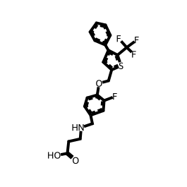 O=C(O)CCNCc1ccc(OCc2cc(-c3ccccc3)c(C(F)(F)F)s2)c(F)c1